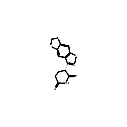 O=C1CC[C@H](c2noc3cc4c(cc23)OCO4)C(=O)N1